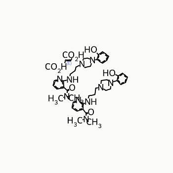 CN(C)C(=O)c1cccnc1NCCCN1CCN(c2ccccc2O)CC1.CN(C)C(=O)c1cccnc1NCCCN1CCN(c2ccccc2O)CC1.O=C(O)/C=C/C(=O)O